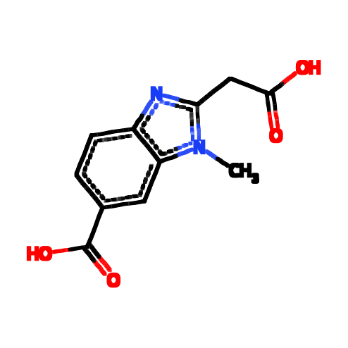 Cn1c(CC(=O)O)nc2ccc(C(=O)O)cc21